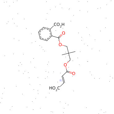 CC(C)(COC(=O)/C=C/C(=O)O)COC(=O)c1ccccc1C(=O)O